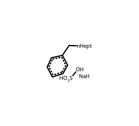 CCCCCCCCc1ccccc1.O=S(=O)(O)O.[NaH]